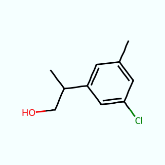 Cc1cc(Cl)cc(C(C)CO)c1